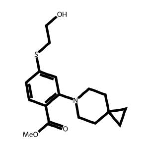 COC(=O)c1ccc(SCCO)cc1N1CCC2(CC1)CC2